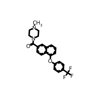 CN1CCN(C(=O)c2ccc3c(Oc4ccc(C(F)(F)F)cc4)cccc3c2)CC1